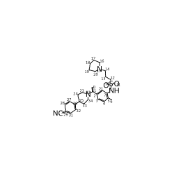 C=C(c1ccc(C)c(NS(=O)(=O)CCCN2CCCCC2)c1)N1CCC(c2ccc(C#N)cc2)CC1